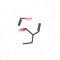 C=CC(C=O)CC.C=CO